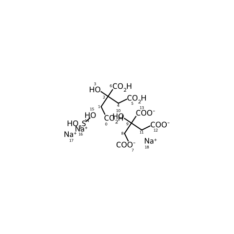 O=C(O)CC(O)(CC(=O)O)C(=O)O.O=C([O-])CC(O)(CC(=O)[O-])C(=O)[O-].O=S(=O)(O)O.[Na+].[Na+].[Na+]